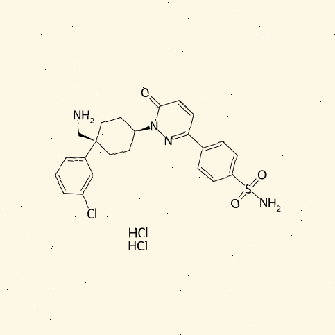 Cl.Cl.NC[C@]1(c2cccc(Cl)c2)CC[C@H](n2nc(-c3ccc(S(N)(=O)=O)cc3)ccc2=O)CC1